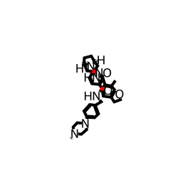 Cc1c(C(=O)N[C@H]2C[C@H]3CC[C@@H](C2)N3c2ccc(C(=O)NCc3ccc(N4CCN(C)CC4)cc3)cn2)ccc2c1OCC2